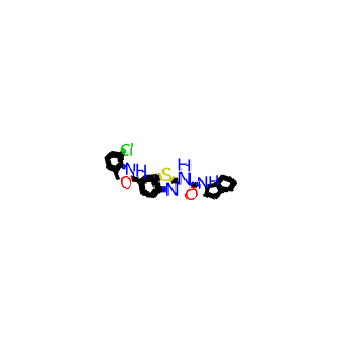 Cc1cccc(Cl)c1NC(=O)c1ccc2nc(NC(=O)NC3CCc4ccccc43)sc2c1